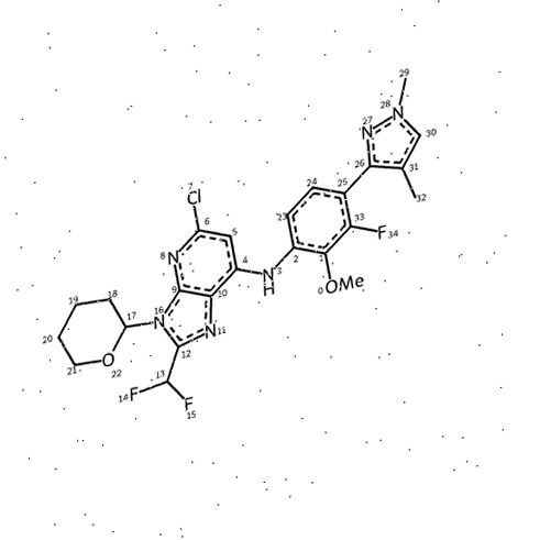 COc1c(Nc2cc(Cl)nc3c2nc(C(F)F)n3C2CCCCO2)ccc(-c2nn(C)cc2C)c1F